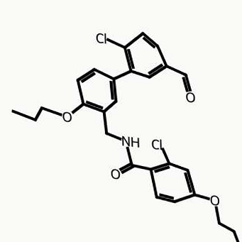 CCCOc1ccc(C(=O)NCc2cc(-c3cc(C=O)ccc3Cl)ccc2OCCC)c(Cl)c1